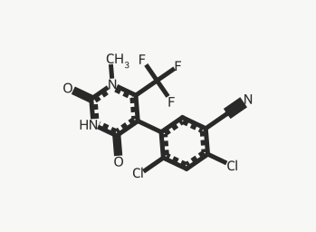 Cn1c(C(F)(F)F)c(-c2cc(C#N)c(Cl)cc2Cl)c(=O)[nH]c1=O